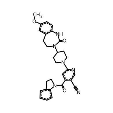 COc1ccc2c(c1)CCN(C1CCN(c3cc(C(=O)N4CCc5ccccc54)c(C#N)cn3)CC1)C(=O)N2